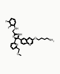 COCc1cccc(-c2nc(CNc3cccc(F)c3F)[nH]c2-c2ccc3ncc(OCCCCN)cc3c2)n1